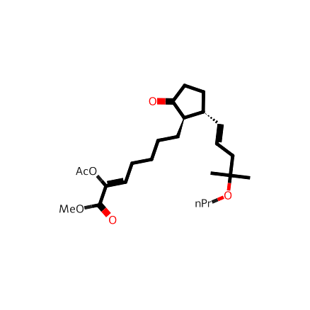 CCCOC(C)(C)C/C=C/[C@H]1CCC(=O)[C@@H]1CCCC/C=C(\OC(C)=O)C(=O)OC